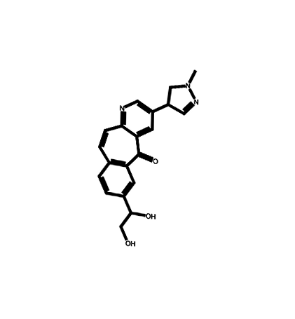 CN1CC(c2cnc3ccc4ccc(C(O)CO)cc4c(=O)c3c2)C=N1